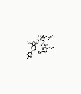 C=CCc1ccc(Br)nc1NC(=O)[C@@H]1C[C@@]2(CN(C)CCC)C[C@H]2N1C(=O)Cn1nc(C(C)=O)c2cc(-c3cnc(C)nc3)ccc21